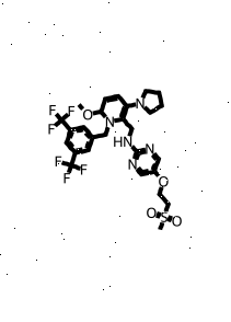 COC1C=CC(N2CCCC2)=C(CNc2ncc(OCCS(C)(=O)=O)cn2)N1Cc1cc(C(F)(F)F)cc(C(F)(F)F)c1